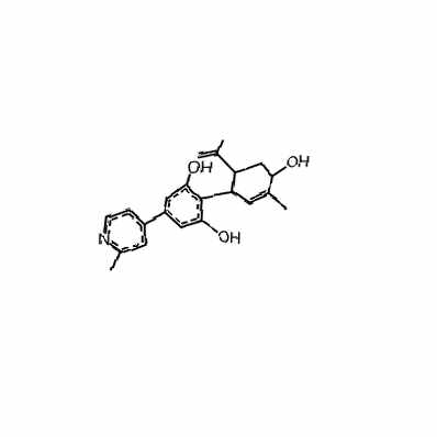 C=C(C)C1CC(O)C(C)=CC1c1c(O)cc(-c2ccnc(C)c2)cc1O